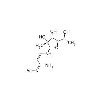 CC(=O)/N=C(N)\C=C/N[C@@H]1O[C@H]([C@@H](C)O)[C@@H](O)[C@@]1(C)O